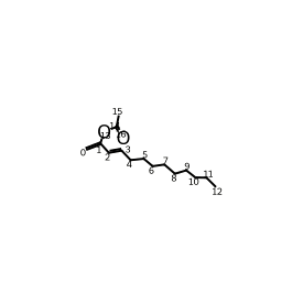 C=C(C=CCCCCCCCCC)OC(C)=O